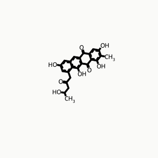 Cc1c(O)cc2c(c1O)C(=O)c1c(cc3cc(O)cc(CC(=O)CC(C)O)c3c1O)C2=O